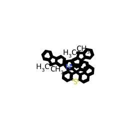 CC1(C)c2ccccc2-c2ccc(N(c3ccc4c(c3)C(C)(C)c3ccccc3-4)c3cccc4c3C3(c5ccccc5-c5ccccc53)c3c(ccc5ccccc35)S4)cc21